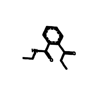 CCNC(=O)c1ccccc1C(=O)CC